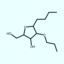 CCCCC1OC(CO)C(O)C1OCCC